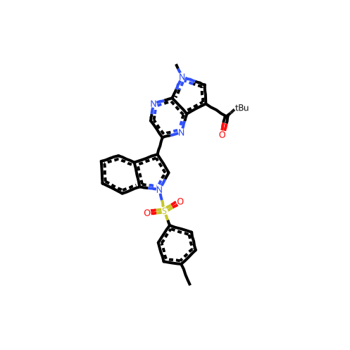 Cc1ccc(S(=O)(=O)n2cc(-c3cnc4c(n3)c(C(=O)C(C)(C)C)cn4C)c3ccccc32)cc1